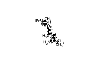 CC(C)OC(=O)[C@H](C)N[PH](=S)OC[C@]1(F)C[C@H](C)[C@H](n2cnc3c(N(C)C)nc(N)nc32)O1